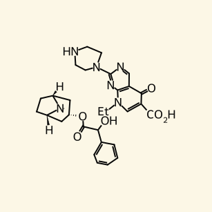 CCn1cc(C(=O)O)c(=O)c2cnc(N3CCNCC3)nc21.CN1[C@@H]2CC[C@H]1C[C@@H](OC(=O)C(O)c1ccccc1)C2